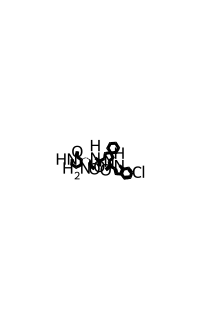 NC(=O)[C@H](C[C@@H]1CCCNC1=O)NC(=O)C1CC2(CCCCC2)CN1C(=O)c1cc2ccc(Cl)cc2[nH]1